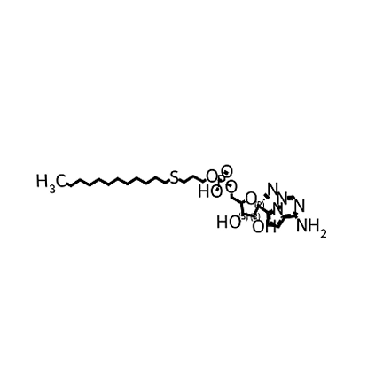 CCCCCCCCCCCCSCCCOP(=O)(O)OCC1O[C@@](C#N)(c2ccc3c(N)ncnn23)[C@H](O)[C@@H]1O